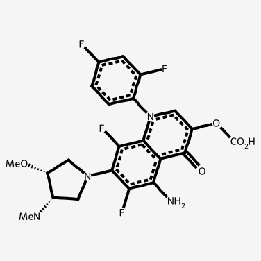 CN[C@H]1CN(c2c(F)c(N)c3c(=O)c(OC(=O)O)cn(-c4ccc(F)cc4F)c3c2F)C[C@H]1OC